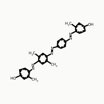 Cc1cc(O)ccc1/N=N/c1ccc(/N=N/c2cc(C)c(/N=N/c3ccc(O)cc3C)cc2C)cc1